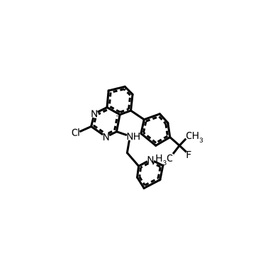 CC(C)(F)c1ccc(-c2cccc3nc(Cl)nc(NCc4ccccn4)c23)cc1